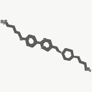 CCCCCOc1ccc(-c2ncc(CC[C@H]3CC[C@H](CCCC)CC3)cn2)cc1